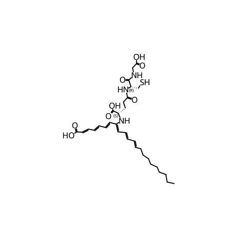 CCCCCCCCCC=CC=CC=C(C=CC=CC=CC(=O)O)N[C@@H](CCC(=O)N[C@@H](CS)C(=O)NCC(=O)O)C(=O)O